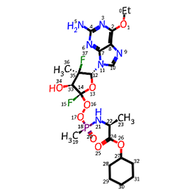 CCOc1nc(N)nc2c1ncn2[C@@H]1O[C@](F)(OO[P@@](C)(=O)N[C@@H](C)C(=O)OC2CCCCC2)[C@@H](O)[C@@]1(C)F